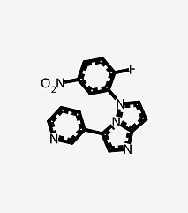 O=[N+]([O-])c1ccc(F)c(-n2ccc3ncc(-c4cccnc4)n32)c1